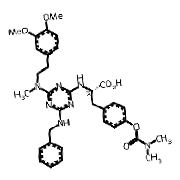 COc1ccc(CCN(C)c2nc(NCc3ccccc3)nc(N[C@@H](Cc3ccc(OC(=O)N(C)C)cc3)C(=O)O)n2)cc1OC